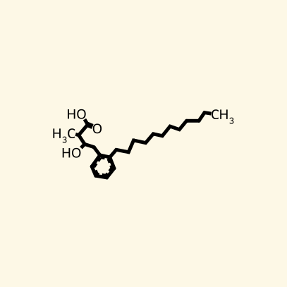 CCCCCCCCCCCCc1ccccc1CC(O)C(C)C(=O)O